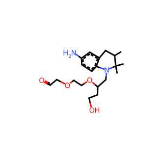 CC1Cc2cc(N)ccc2N(CC(CCO)OCCOCC=O)C1(C)C